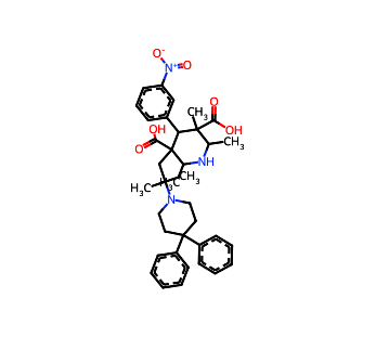 CC1NC(C)C(CC(C)(C)N2CCC(c3ccccc3)(c3ccccc3)CC2)(C(=O)O)C(c2cccc([N+](=O)[O-])c2)C1(C)C(=O)O